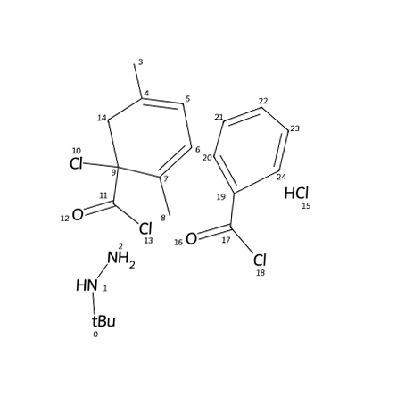 CC(C)(C)NN.CC1=CC=C(C)C(Cl)(C(=O)Cl)C1.Cl.O=C(Cl)c1ccccc1